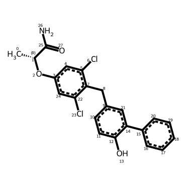 C[C@@H](Oc1cc(Cl)c(Cc2ccc(O)c(-c3ccccc3)c2)c(Cl)c1)C(N)=O